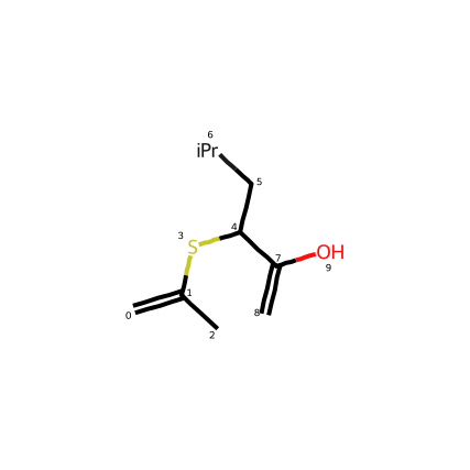 C=C(C)SC(CC(C)C)C(=C)O